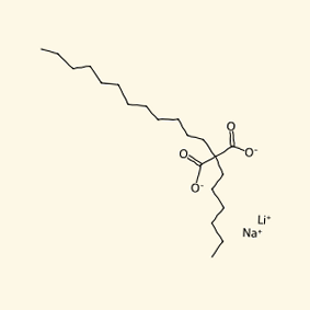 CCCCCCCCCCCCC(CCCCCC)(C(=O)[O-])C(=O)[O-].[Li+].[Na+]